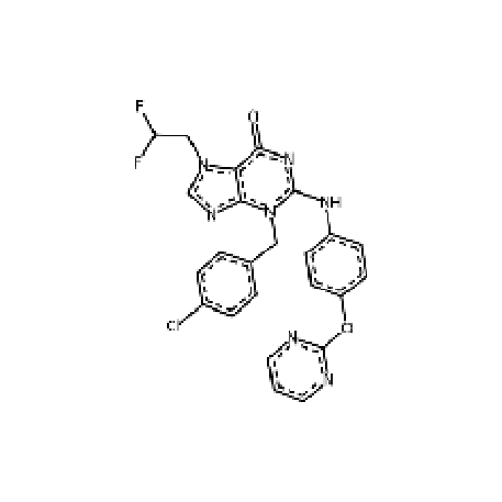 O=c1nc(Nc2ccc(Oc3ncccn3)cc2)n(Cc2ccc(Cl)cc2)c2ncn(CC(F)F)c12